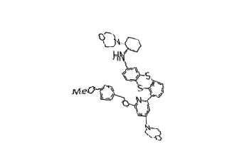 COc1ccc(COc2cc(N3CCOCC3)cc(-c3cccc4c3Sc3ccc(N[C@@H]5CCCC[C@H]5N5CCOCC5)cc3S4)n2)cc1